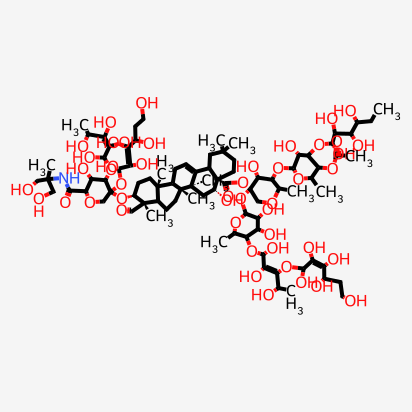 CCC(O)C(O)C(O)C(O)OC1C(O)C(OC2C(C)OCC(OC(=O)[C@]34CCC(C)(C)CC3C3=CCC5[C@@]6(C)CC[C@H](OC7(OC(O)/C(O)=C(\O)C(O)CCO)COC(C(=O)NC(C)(CO)CO)C(O)C7OC(O)/C(O)=C(/O)C(C)O)[C@@](C)(C=O)C6CC[C@@]5(C)[C@]3(C)C[C@H]4O)(OC3OC(C)C(OC(O)/C(O)=C(\OC(O)/C(O)=C(/O)C(O)CCO)C(C)O)C(O)C3O)C2O)OC(C)C1OC(C)=O